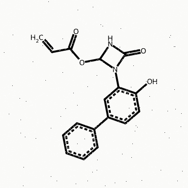 C=CC(=O)OC1NC(=O)N1c1cc(-c2ccccc2)ccc1O